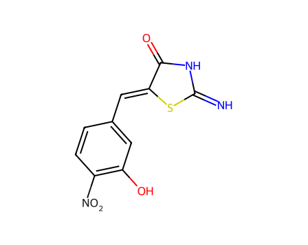 N=C1NC(=O)C(=Cc2ccc([N+](=O)[O-])c(O)c2)S1